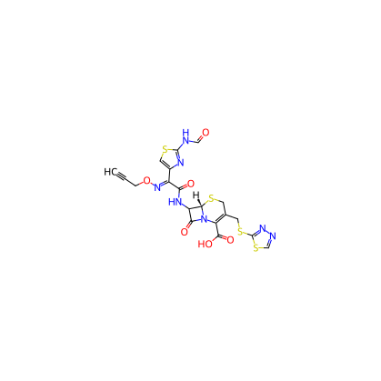 C#CCON=C(C(=O)NC1C(=O)N2C(C(=O)O)=C(CSc3nncs3)CS[C@@H]12)c1csc(NC=O)n1